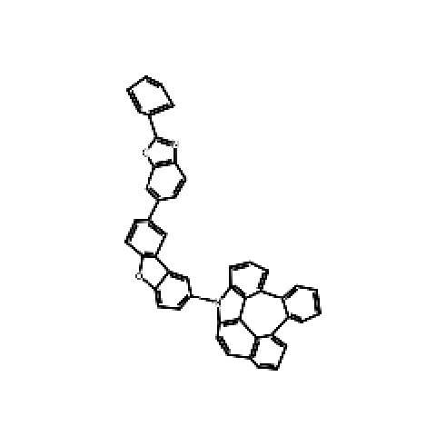 c1ccc(-c2nc3ccc(-c4ccc5oc6ccc(-n7c8cccc9c8c8c%10c(cccc%10ccc87)-c7ccccc7-9)cc6c5c4)cc3o2)cc1